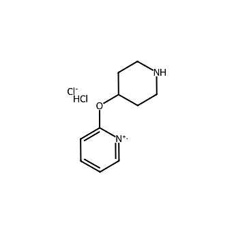 C1=CC=C(OC2CCNCC2)[N+]=C1.Cl.[Cl-]